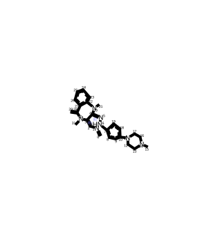 C=N/C=C1\C(=N/Nc2ccc(N3CCN(C)CC3)cc2)N(C)c2ccccc2C(=C)N1C